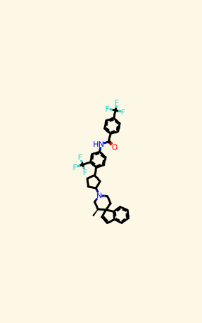 C[C@H]1CN(C2CCC(c3ccc(NC(=O)c4ccc(C(F)(F)F)cc4)cc3C(F)(F)F)C2)CCC12C=Cc1ccccc12